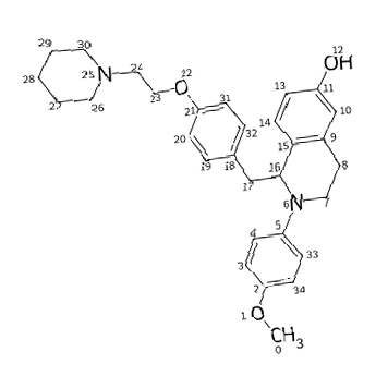 COc1ccc(N2CCc3cc(O)ccc3C2Cc2ccc(OCCN3CCCCC3)cc2)cc1